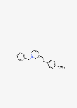 COc1ccc(CC[C@@H]2C=CCN(Cc3ccccc3)C2)cc1